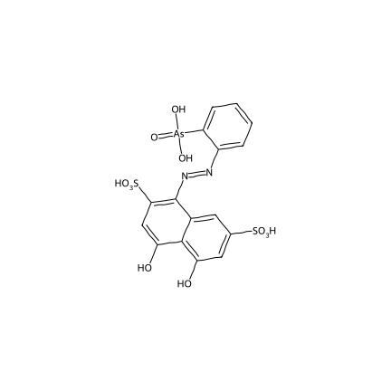 O=S(=O)(O)c1cc(O)c2c(O)cc(S(=O)(=O)O)c(N=Nc3ccccc3[As](=O)(O)O)c2c1